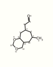 CC1CC(CC=O)CC2OCOCC2C1